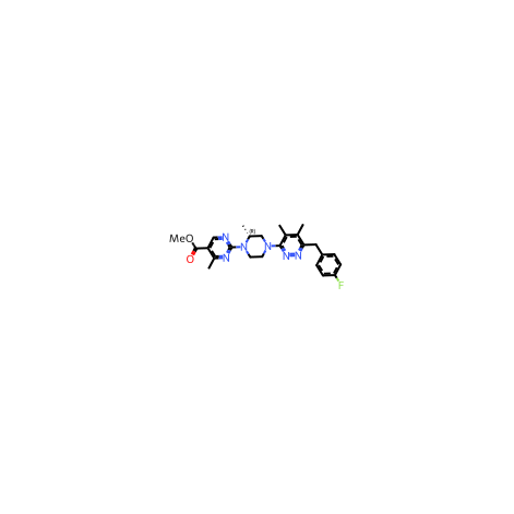 COC(=O)c1cnc(N2CCN(c3nnc(Cc4ccc(F)cc4)c(C)c3C)C[C@H]2C)nc1C